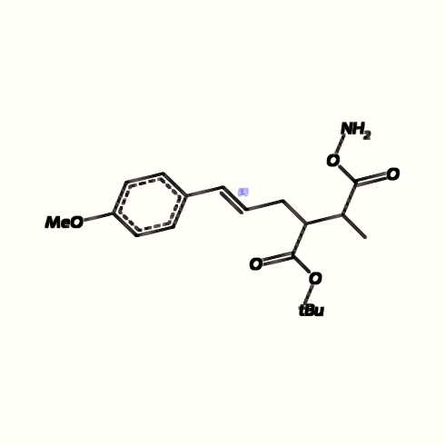 COc1ccc(/C=C/CC(C(=O)OC(C)(C)C)C(C)C(=O)ON)cc1